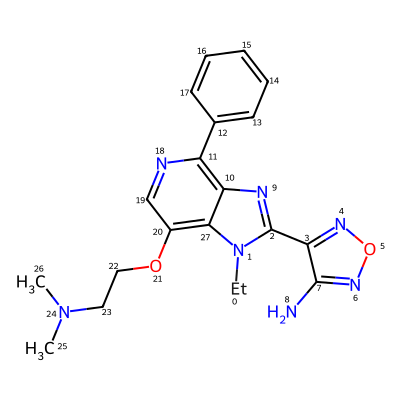 CCn1c(-c2nonc2N)nc2c(-c3ccccc3)ncc(OCCN(C)C)c21